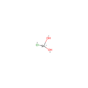 [OH][Sn]([OH])[Cl]